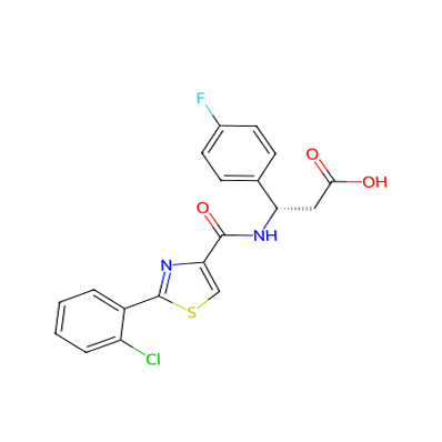 O=C(O)C[C@H](NC(=O)c1csc(-c2ccccc2Cl)n1)c1ccc(F)cc1